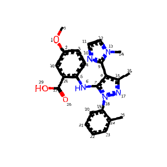 COc1ccc(Nc2c(-c3nccn3C)c(C)nn2-c2ccccc2C)c(C(=O)O)c1